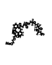 COCCOCC(O)n1nnc2c1-c1ccccc1CN(C(=O)CCC(=O)NCCC(C)(C)OCCC(C)(C)C(=O)NC(C)CC(C)C)c1ccccc1-2